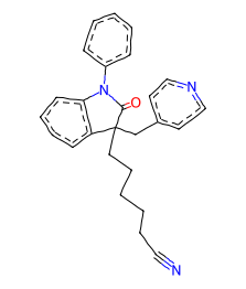 N#CCCCCCC1(Cc2ccncc2)C(=O)N(c2ccccc2)c2ccccc21